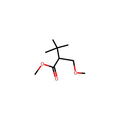 COCC(C(=O)OC)C(C)(C)C